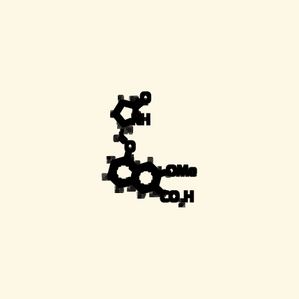 COc1cc2c(OC[C@@H]3CCC(=O)N3)cccc2cc1C(=O)O